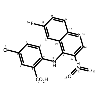 O=C(O)c1cc(Cl)ccc1Nc1c([SH](=O)=O)cnc2ccc(F)cc12